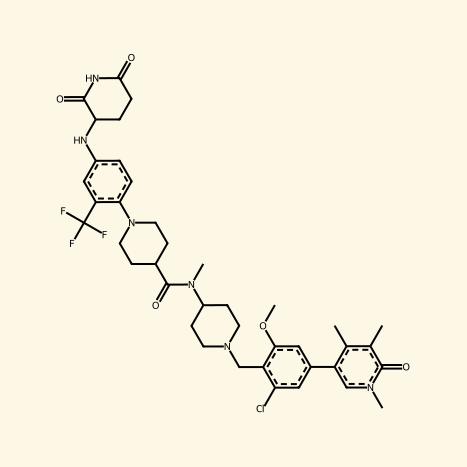 COc1cc(-c2cn(C)c(=O)c(C)c2C)cc(Cl)c1CN1CCC(N(C)C(=O)C2CCN(c3ccc(NC4CCC(=O)NC4=O)cc3C(F)(F)F)CC2)CC1